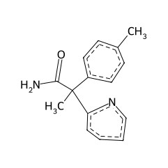 Cc1ccc(C(C)(C(N)=O)c2ccccn2)cc1